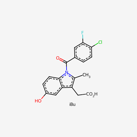 CC[C@H](C)C(C(=O)O)c1c(C)n(C(=O)c2ccc(Cl)c(F)c2)c2ccc(O)cc12